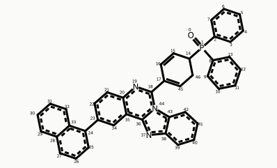 O=P(c1ccccc1)(c1ccccc1)C1C=CC(c2nc3ccc(-c4cccc5ccccc45)cc3c3nc4ccccc4n23)=CC1